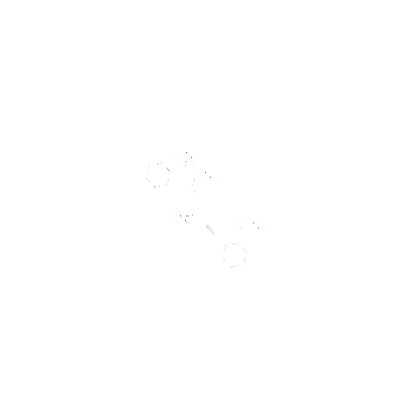 CO/N=C(/C(=O)N(C)C)c1cccc(C)c1CO/N=C(\C)C#Cc1ccc(P)cc1C(=O)N(C)C